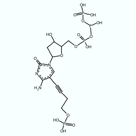 Nc1nc(=O)n(C2CC(O)C(COP(=O)(O)OP(O)OP(=O)(O)O)O2)cc1C#CCCOP(=O)(O)O